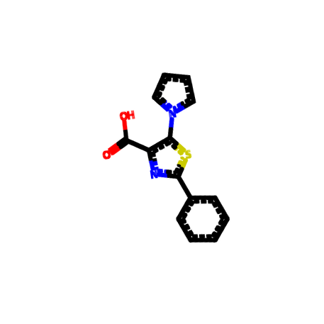 O=C(O)c1nc(-c2ccccc2)sc1-n1cccc1